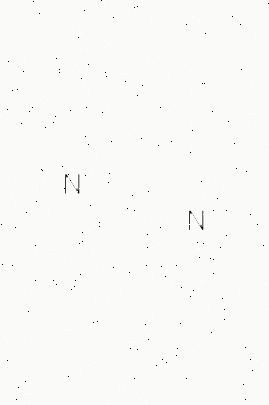 C1=CN2CCCN(C1)C2